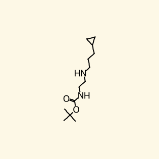 CC(C)(C)OC(=O)NCCNCCCC1CC1